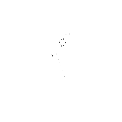 CCCCCCCCSCC(CSc1ccc(OC)cc1)C(=O)O